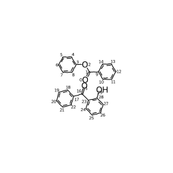 O=C(Oc1ccccc1)c1ccccc1.O=C(c1ccccc1)c1ccccc1O